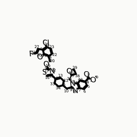 COC(=O)c1ccc2nc(CC3CC=C(c4csc(OCc5ccc(Cl)c6cc(F)oc56)n4)CC3)n(C[C@@H]3CCO3)c2c1